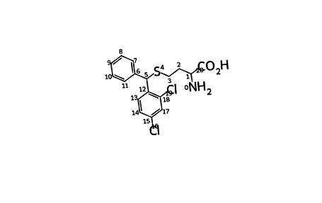 NC(CCSC(c1ccccc1)c1ccc(Cl)cc1Cl)C(=O)O